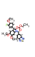 CCOC(=O)Oc1c(-c2ccc(OC)c(F)c2)c2cc(OC)c(OC)cc2n1Cc1ccc2nsnc2c1